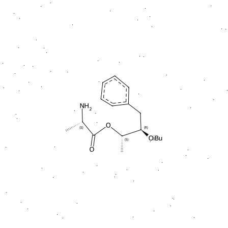 CC(C)CO[C@H](Cc1ccccc1)[C@H](C)OC(=O)[C@H](C)N